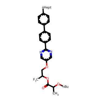 CCCCCCCc1ccc(-c2ccc(-c3ncc(OCC(OC(=O)C(C)OCCCC)C(F)(F)F)cn3)cc2)cc1